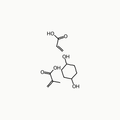 C=C(C)C(=O)O.C=CC(=O)O.OC1CCC(O)CC1